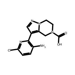 Nc1ccc(Cl)nc1-c1cnn2c1CN(C(=O)O)CC2